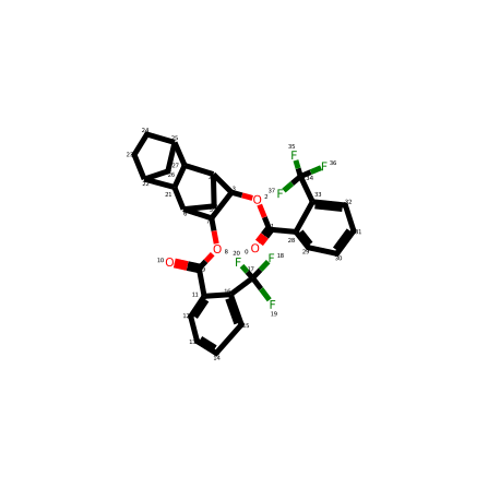 O=C(OC1C2CC(C1OC(=O)c1ccccc1C(F)(F)F)C1C3CCC(C3)C21)c1ccccc1C(F)(F)F